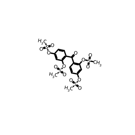 CS(=O)(=O)Oc1ccc(C(=O)c2ccc(OS(C)(=O)=O)cc2OS(C)(=O)=O)c(OS(C)(=O)=O)c1